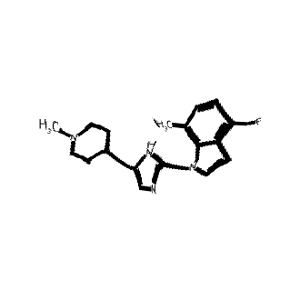 Cc1ccc(F)c2ccn(-c3ncc(C4CCN(C)CC4)[nH]3)c12